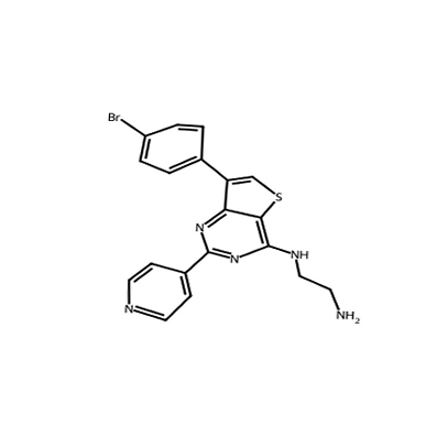 NCCNc1nc(-c2ccncc2)nc2c(-c3ccc(Br)cc3)csc12